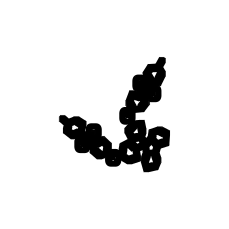 Cc1ccc(S(=O)(=O)c2ccc(Oc3ccc(C4(c5ccc(Oc6ccc(S(=O)(=O)c7ccc(C)cc7)cc6)cc5)c5ccccc5-c5ccccc54)cc3)cc2)cc1